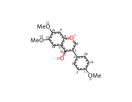 COc1ccc(-c2coc3cc(OC)c(OC)cc3c2=O)cc1